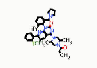 C=CC(=O)N1CC(C)N(c2nc(=O)n(-c3c(CN4CCCC4)cccc3C(C)C)c3nc(-c4ccccc4F)c(Cl)cc23)CC1C